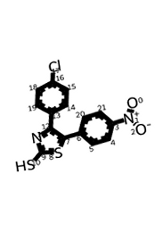 O=[N+]([O-])c1ccc(-c2sc(S)nc2-c2ccc(Cl)cc2)cc1